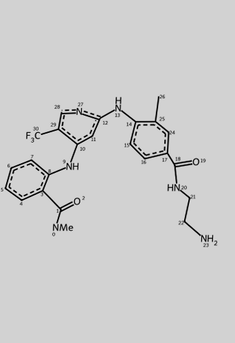 CNC(=O)c1ccccc1Nc1cc(Nc2ccc(C(=O)NCCN)cc2C)ncc1C(F)(F)F